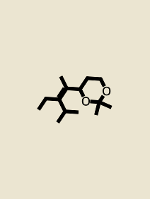 CCC(=C(C)C1CCOC(C)(C)O1)C(C)C